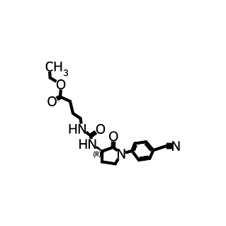 CCOC(=O)CCCNC(=O)N[C@@H]1CCN(c2ccc(C#N)cc2)C1=O